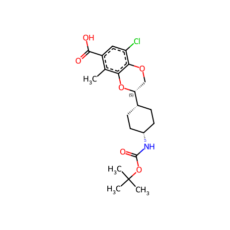 Cc1c(C(=O)O)cc(Cl)c2c1O[C@@H]([C@H]1CC[C@@H](NC(=O)OC(C)(C)C)CC1)CO2